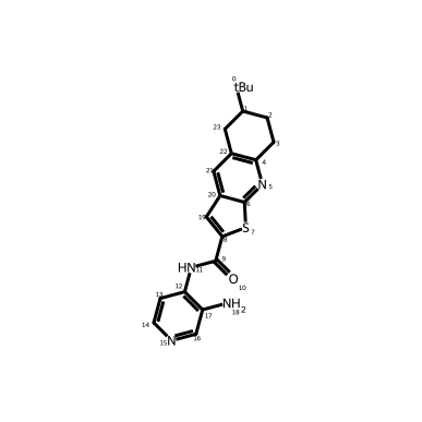 CC(C)(C)C1CCc2nc3sc(C(=O)Nc4ccncc4N)cc3cc2C1